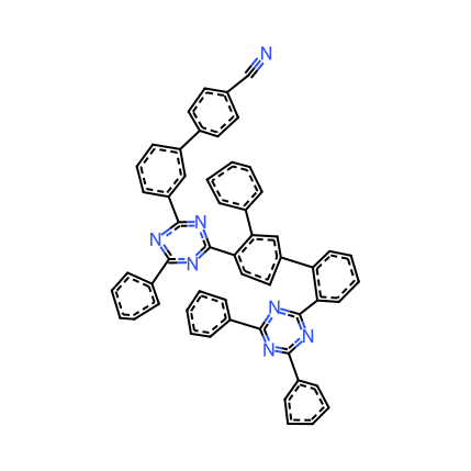 N#Cc1ccc(-c2cccc(-c3nc(-c4ccccc4)nc(-c4ccc(-c5ccccc5-c5nc(-c6ccccc6)nc(-c6ccccc6)n5)cc4-c4ccccc4)n3)c2)cc1